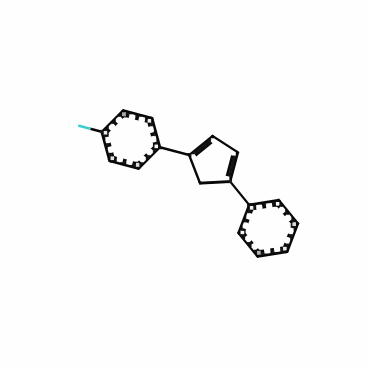 Fc1ccc(C2=CC=C(c3ccccc3)C2)cc1